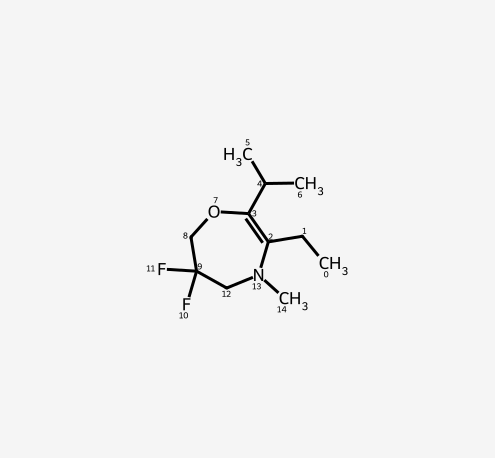 CCC1=C(C(C)C)OCC(F)(F)CN1C